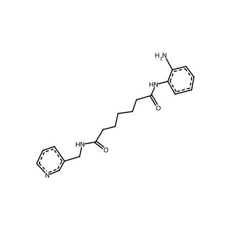 Nc1ccccc1NC(=O)CCCCCC(=O)NCc1cccnc1